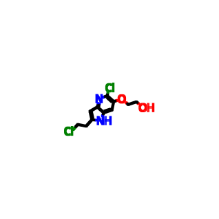 OCCOc1cc2[nH]c(CCCl)cc2nc1Cl